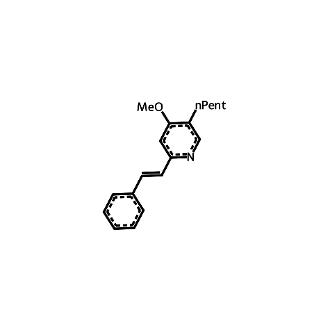 CCCCCc1cnc(C=Cc2ccccc2)cc1OC